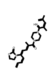 C=C\C=C/C(=C\C=C(/C)C(=O)N1CCN(C(=N)/C(C)=C\C(=C)C)CC1)N1CCOC1=O